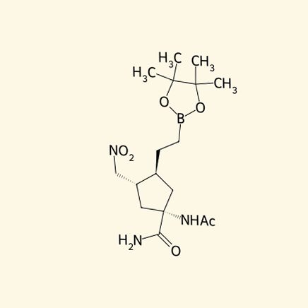 CC(=O)N[C@@]1(C(N)=O)C[C@H](CCB2OC(C)(C)C(C)(C)O2)[C@@H](C[N+](=O)[O-])C1